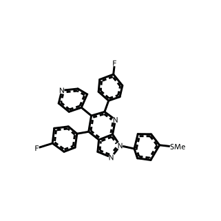 CSc1ccc(-n2ncc3c(-c4ccc(F)cc4)c(-c4ccncc4)c(-c4ccc(F)cc4)nc32)cc1